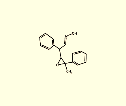 CC1(c2ccccc2)OC1C(C=NO)c1ccccc1